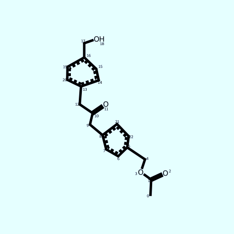 CC(=O)OCc1ccc(CC(=O)Cc2ccc(CO)cc2)cc1